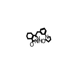 O=C1CCCN1c1cccc(Cc2n[nH]c(=O)c3c2CCCC3)c1